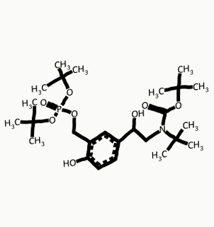 CC(C)(C)OC(=O)N(CC(O)c1ccc(O)c(COP(=O)(OC(C)(C)C)OC(C)(C)C)c1)C(C)(C)C